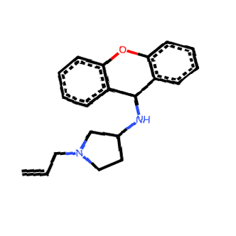 C=CCN1CCC(NC2c3ccccc3Oc3ccccc32)C1